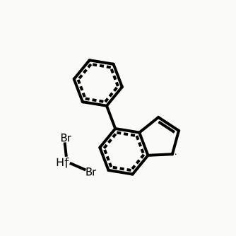 [Br][Hf][Br].[CH]1C=Cc2c1cccc2-c1ccccc1